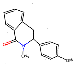 COc1ccc(C2Cc3ccccc3C(=O)N2C)cc1